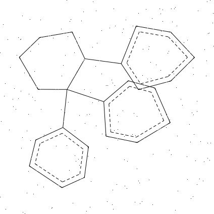 c1ccc(C2CCCCC2(c2ccccc2)c2ccccc2)cc1